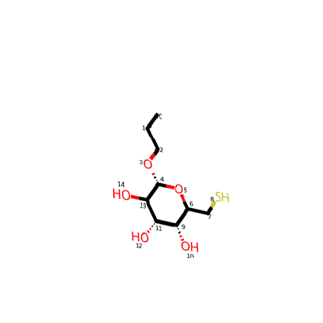 CCCO[C@@H]1OC(CS)[C@H](O)[C@H](O)C1O